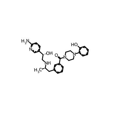 C[C@H](Cc1cccc(C(=O)N2CCN(c3ccccc3O)CC2)c1)NC[C@@H](O)c1ccc(N)nc1